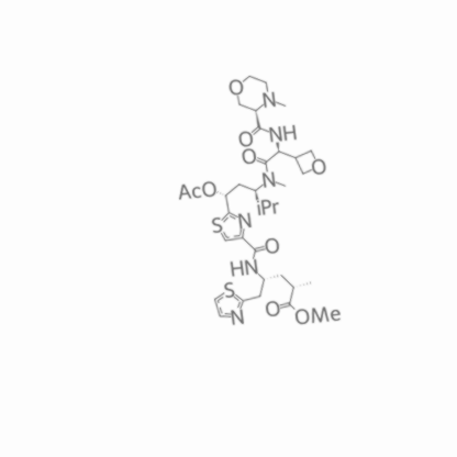 COC(=O)[C@@H](C)C[C@H](Cc1nccs1)NC(=O)c1csc([C@@H](C[C@H](C(C)C)N(C)C(=O)[C@@H](NC(=O)[C@H]2COCCN2C)C2COC2)OC(C)=O)n1